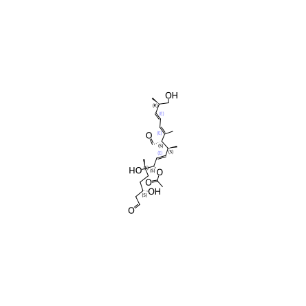 CC(=O)O[C@@H](/C=C/[C@H](C)[C@H](C=O)/C(C)=C/C=C/[C@@H](C)CO)[C@@](C)(O)CC[C@H](O)CC=O